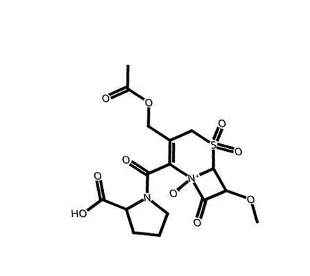 COC1C(=O)[N+]2([O-])C(C(=O)N3CCCC3C(=O)O)=C(COC(C)=O)CS(=O)(=O)C12